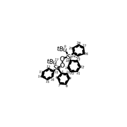 CC(C)(C)[Si](OO[Si](c1ccccc1)(c1ccccc1)C(C)(C)C)(c1ccccc1)c1ccccc1